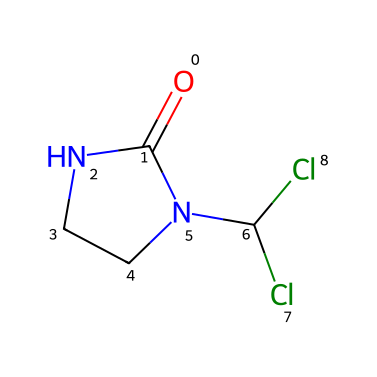 O=C1NCCN1C(Cl)Cl